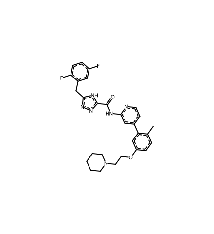 Cc1ccc(OCCN2CCCCC2)cc1-c1ccnc(NC(=O)c2nnc(Cc3cc(F)ccc3F)[nH]2)c1